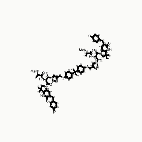 CN[C@@H](C)C(=O)N[C@H](C(=O)N1CC(C)(C)c2[nH]c(=O)c(Cc3ccc(F)cc3)cc21)[C@@H](C)n1cc(COc2ccc(C(C)(C)c3ccc(OCc4cn([C@H](C)[C@H](NC(=O)[C@H](C)NC)C(=O)N5CC(C)(C)c6[nH]c(=O)c(Cc7ccc(F)cc7)cc65)nn4)cc3)cc2)nn1